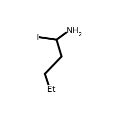 CCCCC(N)I